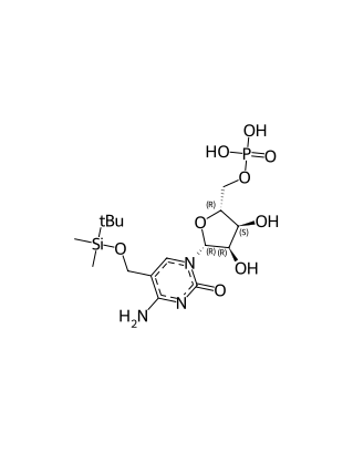 CC(C)(C)[Si](C)(C)OCc1cn([C@@H]2O[C@H](COP(=O)(O)O)[C@@H](O)[C@H]2O)c(=O)nc1N